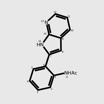 CC(=O)Nc1ccccc1-c1cc2cccnc2[nH]1